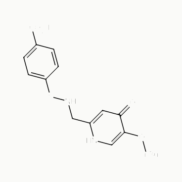 CCCCOc1c[nH]c(CNSc2ccc(C(=O)O)cc2)cc1=O